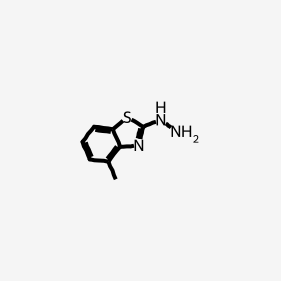 Cc1cccc2sc(NN)nc12